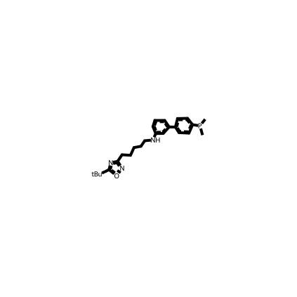 CP(C)c1ccc(-c2cccc(NCCCCCc3noc(C(C)(C)C)n3)c2)cc1